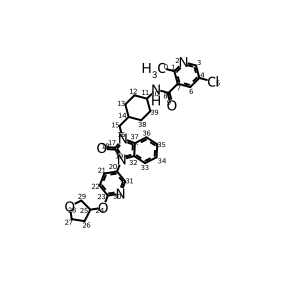 Cc1ncc(Cl)cc1C(=O)NC1CCC(Cn2c(=O)n(-c3ccc(OC4CCOC4)nc3)c3ccccc32)CC1